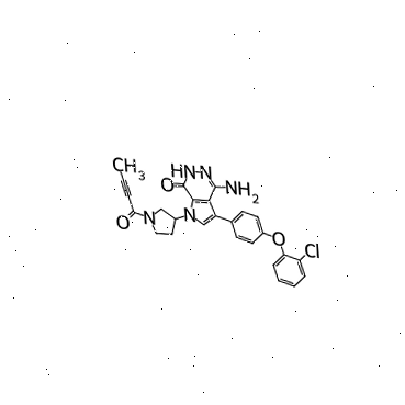 CC#CC(=O)N1CCC(n2cc(-c3ccc(Oc4ccccc4Cl)cc3)c3c(N)n[nH]c(=O)c32)C1